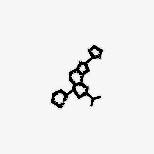 CC(C)c1cc(-c2ccccc2)c2ccc3nc(-c4ncco4)cn3c2n1